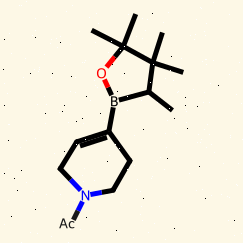 CC(=O)N1CC=C(B2OC(C)(C)C(C)(C)C2C)CC1